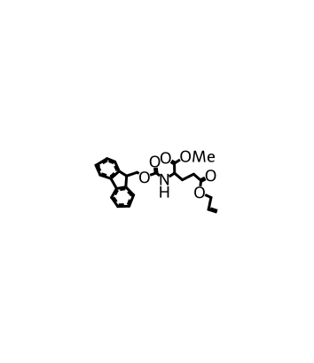 C=CCOC(=O)CCC(NC(=O)OCC1c2ccccc2-c2ccccc21)C(=O)OC